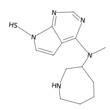 CN(c1ncnc2c1ccn2S)C1CCCCNC1